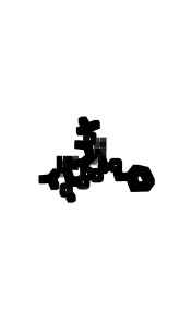 COC(=O)[C@H](CC(C)C)NC(=O)[C@@H](NC(=O)OCc1ccccc1)C(C)OC(C)(C)C